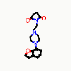 O=C1CCC(=O)N1CCN1CCN(c2cccc3ccoc23)CC1